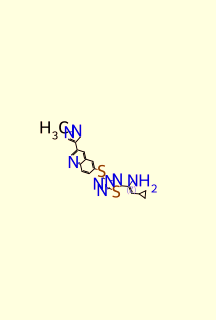 Cn1cc(-c2cnc3ccc(Sc4nnc5sc(/C(N)=C/C6CC6)nn45)cc3c2)cn1